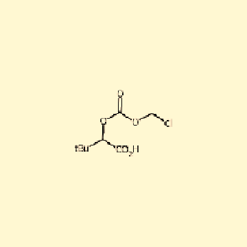 CC(C)(C)C(OC(=O)OCCl)C(=O)O